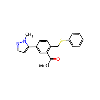 COC(=O)c1cc(-c2ccnn2C)ccc1CSc1ccccc1